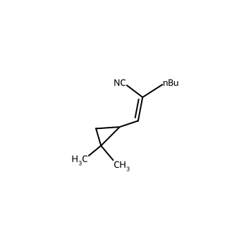 CCCC/C(C#N)=C/C1CC1(C)C